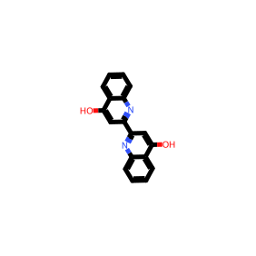 Oc1cc(-c2cc(O)c3ccccc3n2)nc2ccccc12